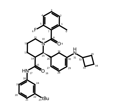 Cc1cccc(F)c1C(=O)N1CCCC(C(=O)Nc2cccc(C(C)(C)C)c2)[C@@H]1C1C=CC=C(NC2CCC2)C1